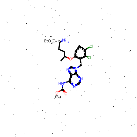 CCOC(=O)[C@H](N)CCC(C)Oc1ccc(Cl)c(Cl)c1Cn1cnc2c(NC(=O)OC(C)(C)C)ncnc21